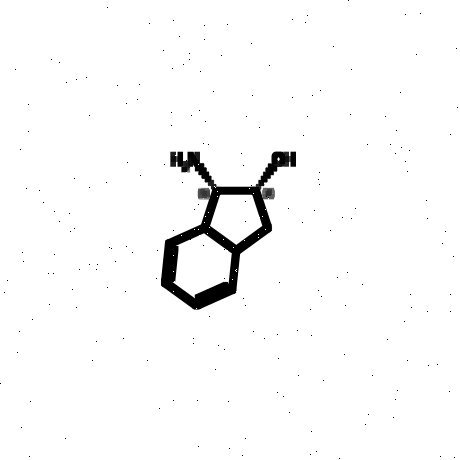 N[C@H]1C2C=CC=CC2C[C@H]1O